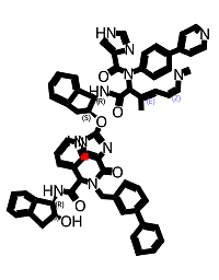 C=N/C=C\C=C(/C)C(C(=O)N[C@@H]1c2ccccc2C[C@@H]1Oc1nc(C(=O)N(Cc2cccc(-c3ccccc3)c2)C(C(=O)N[C@@H]2c3ccccc3C[C@@H]2O)c2cccnc2)c[nH]1)N(C(=O)c1c[nH]cn1)c1ccc(-c2ccncc2)cc1